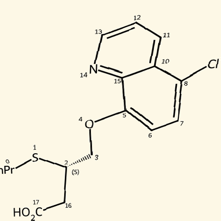 CCCS[C@H](COc1ccc(Cl)c2cccnc12)CC(=O)O